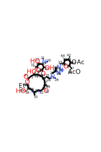 CC[C@H]1OC(=O)C[C@@H](O)[C@H](C)[C@@H](O[C@@H]2O[C@H](C)[C@@H](O)C(N(C)C)C2O)[C@@H](CCN(C)Cc2cn(C[C@@H]3O[C@H](COC(C)=O)[C@@H](OC(C)=O)[C@H](C)[C@H]3C)nn2)C[C@@H](C)C(=O)/C=C/C(C)=C/[C@@H]1CO